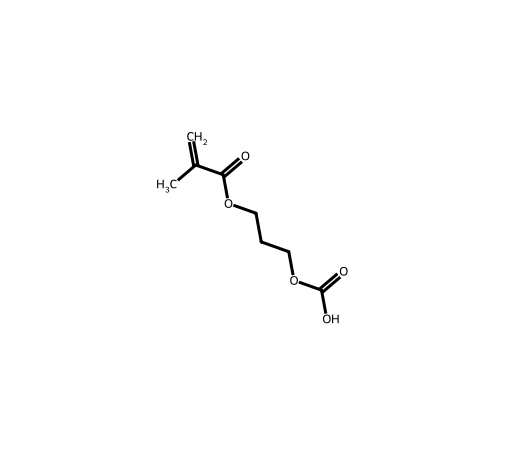 C=C(C)C(=O)OCCCOC(=O)O